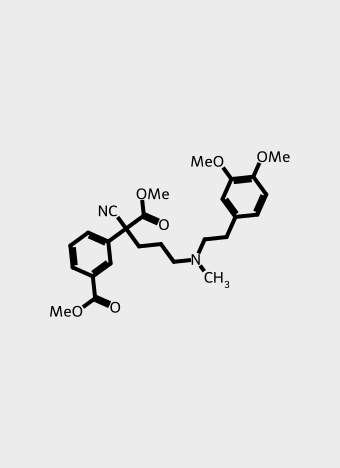 COC(=O)c1cccc(C(C#N)(CCCN(C)CCc2ccc(OC)c(OC)c2)C(=O)OC)c1